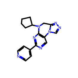 c1cc(-c2ncc3c(n2)N(C2CCCC2)Cc2nncn2-3)ccn1